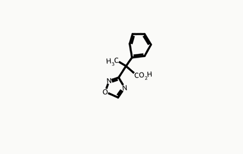 CC(C(=O)O)(c1ccccc1)c1ncon1